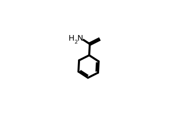 C=C(N)C1C=CC=CC1